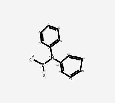 ClB(Cl)N(c1ccccc1)c1ccccc1